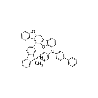 CC1(C)c2ccccc2-c2ccc(-c3c4oc5c(N(c6ccccc6)c6ccc(-c7ccccc7)cc6)cccc5c4cc4oc5ccccc5c34)cc21